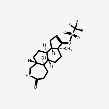 C[C@]12CCC(=O)NC[C@@H]1CC[C@@H]1[C@@H]2CC[C@]2(C)C(OS(=O)(=O)C(F)(F)F)=CC[C@@H]12